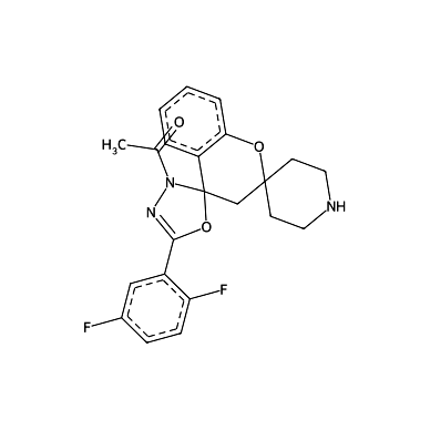 CC(=O)N1N=C(c2cc(F)ccc2F)OC12CC1(CCNCC1)Oc1ccccc12